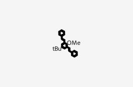 COc1c(/C=C/c2ccccc2)cc(C(C)(C)C)cc1/C=C/c1ccccc1